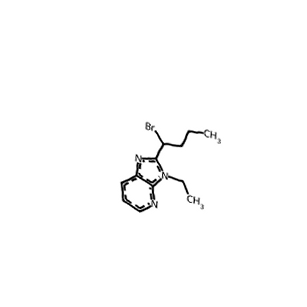 CCCC(Br)c1nc2cccnc2n1CC